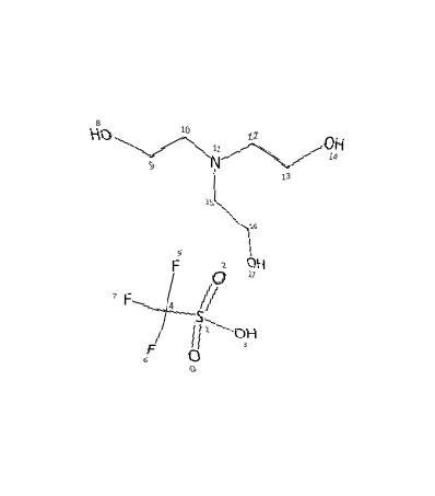 O=S(=O)(O)C(F)(F)F.OCCN(CCO)CCO